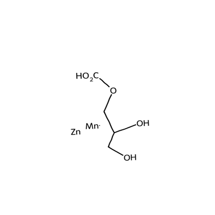 O=C(O)OCC(O)CO.[Mn].[Zn]